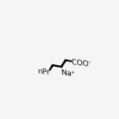 CCCCCCC(=O)[O-].[Na+]